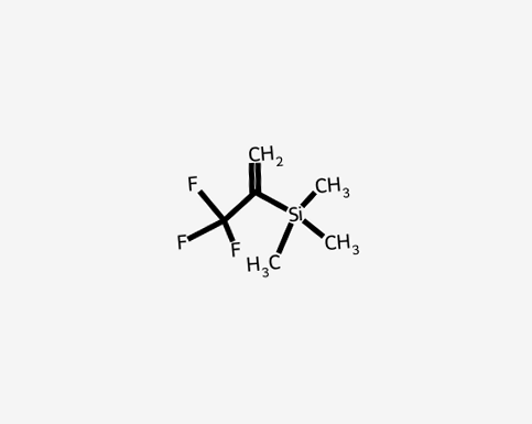 C=C(C(F)(F)F)[Si](C)(C)C